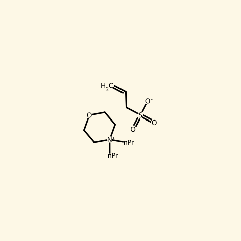 C=CCS(=O)(=O)[O-].CCC[N+]1(CCC)CCOCC1